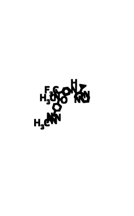 CN(C(=O)C1CCC(c2nnn(C)n2)CC1)[C@H](c1ccc(Nc2cnc3cccnc3c2C2CC2)cc1)C(F)(F)F